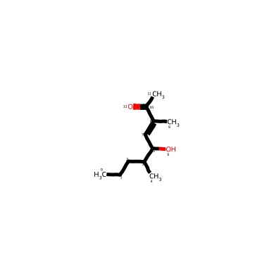 CCCC(C)C(O)/C=C(\C)C(C)=O